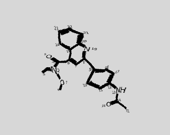 CON(C)C(=O)c1cc(-c2ccc(NC(C)=O)cc2)nc2ccccc12